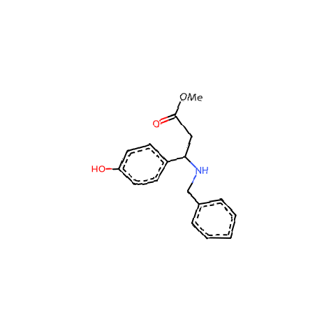 COC(=O)CC(NCc1ccccc1)c1ccc(O)cc1